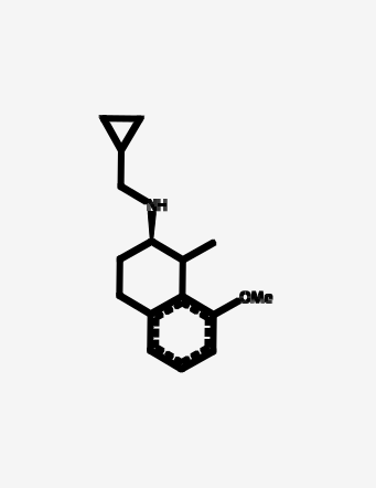 COc1cccc2c1C(C)[C@H](NCC1CC1)CC2